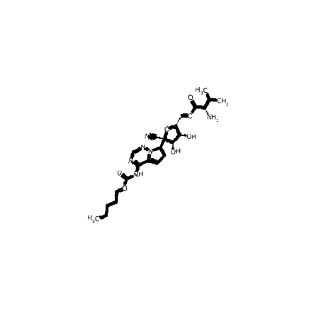 CCCCCOC(=O)NC1=NC=NN2C1=CCC2[C@]1(C#N)O[C@H](COC(=O)[C@@H](N)C(C)C)[C@@H](O)[C@H]1O